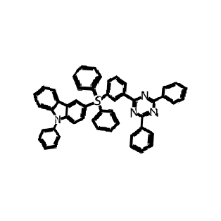 c1ccc(-c2nc(-c3ccccc3)nc(-c3cccc(S(c4ccccc4)(c4ccccc4)c4ccc5c(c4)c4ccccc4n5-c4ccccc4)c3)n2)cc1